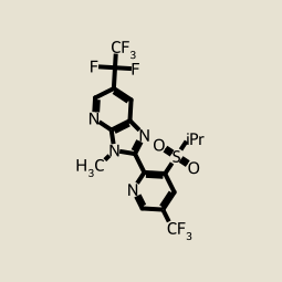 CC(C)S(=O)(=O)c1cc(C(F)(F)F)cnc1-c1nc2cc(C(F)(F)C(F)(F)F)cnc2n1C